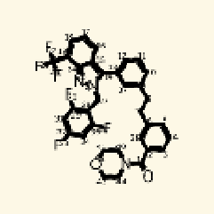 O=C(c1cccc(CCc2cccc(-c3c4cccc(C(F)(F)F)c4nn3Cc3c(F)cc(F)cc3F)c2)c1)N1CCOCC1